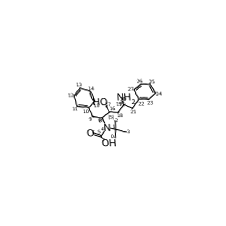 CC(C)(C)N(C(=O)O)[C@@H](Cc1ccccc1)[C@@H](O)C[C@@H](N)Cc1ccccc1